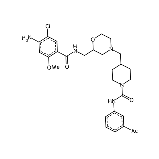 COc1cc(N)c(Cl)cc1C(=O)NCC1CN(CC2CCN(C(=O)Nc3cccc(C(C)=O)c3)CC2)CCO1